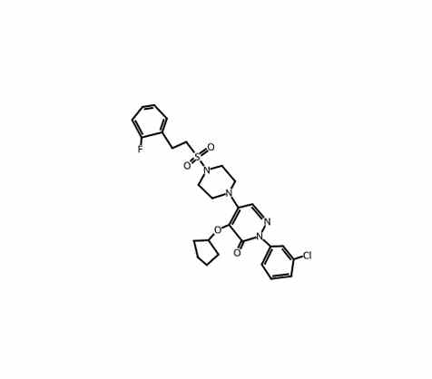 O=c1c(OC2CCCC2)c(N2CCN(S(=O)(=O)CCc3ccccc3F)CC2)cnn1-c1cccc(Cl)c1